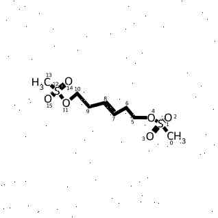 CS(=O)(=O)O[CH]CC=CCCOS(C)(=O)=O